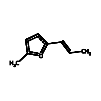 CC=Cc1ccc(C)o1